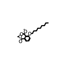 CCCCCCCCCOc1cccc(C(=O)OC)c1C(=O)OC